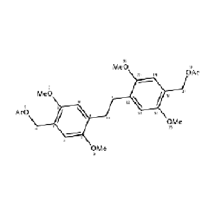 COc1cc(COC(C)=O)c(OC)cc1CCc1cc(OC)c(COC(C)=O)cc1OC